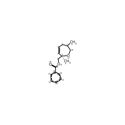 CC1CC=C[C@](C)(COC(=O)c2ccccc2)OC1